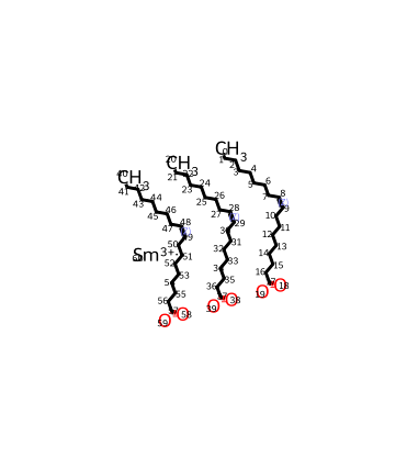 CCCCCCCC/C=C\CCCCCCCC(=O)[O-].CCCCCCCC/C=C\CCCCCCCC(=O)[O-].CCCCCCCC/C=C\CCCCCCCC(=O)[O-].[Sm+3]